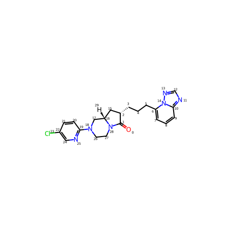 O=C1[C@@H](CCCc2cccc3ncnn23)C[C@H]2CN(c3ccc(Cl)cn3)CCN12